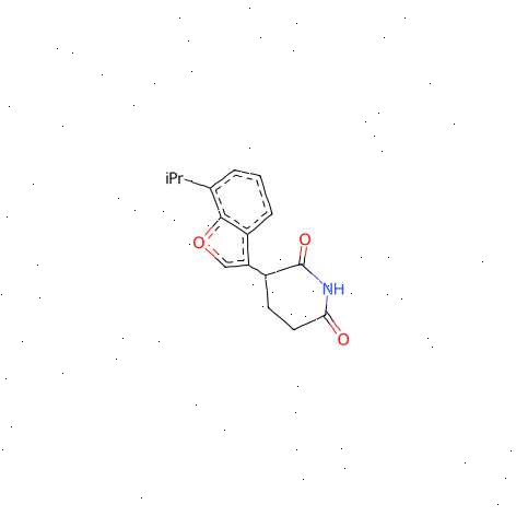 CC(C)c1cccc2c(C3CCC(=O)NC3=O)coc12